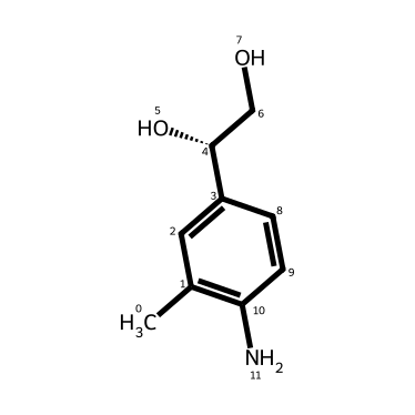 Cc1cc([C@H](O)CO)ccc1N